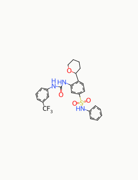 O=C(Nc1cccc(C(F)(F)F)c1)Nc1cc(S(=O)(=O)Nc2ccccc2)ccc1C1CCCCO1